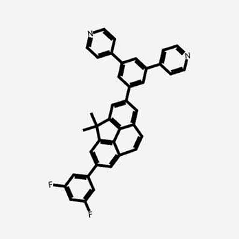 CC1(C)c2cc(-c3cc(F)cc(F)c3)cc3ccc4cc(-c5cc(-c6ccncc6)cc(-c6ccncc6)c5)cc1c4c23